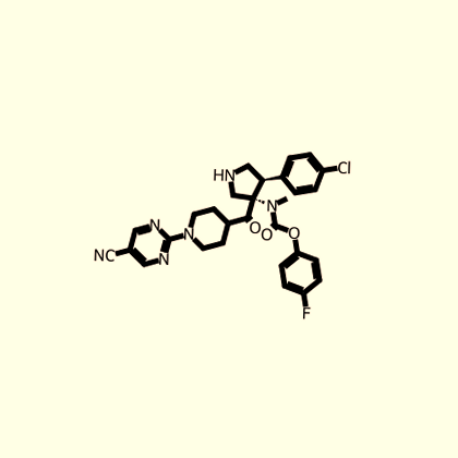 CN(C(=O)Oc1ccc(F)cc1)[C@]1(C(=O)C2CCN(c3ncc(C#N)cn3)CC2)CNC[C@H]1c1ccc(Cl)cc1